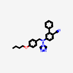 CCCCOc1ccc(CN(c2ccc(C#N)c(-c3ccccc3)c2)n2cnnc2)cc1